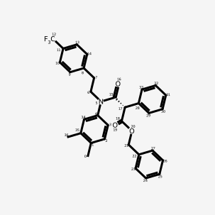 Cc1ccc(N(CCc2ccc(C(F)(F)F)cc2)C(=O)[C@@H](C(=O)OCc2ccccc2)c2ccccc2)cc1C